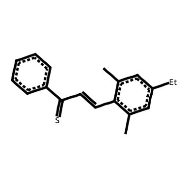 CCc1cc(C)c(C=CC(=S)c2ccccc2)c(C)c1